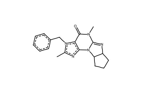 Cc1nc2c(n1Cc1ccccc1)C(=O)N(C)C1=NC3CCCC3N12